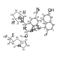 C#Cc1c(F)ccc2cc(O)cc(-c3c(C#N)cc4c(N5C[C@H]6CC[C@@H](C5)N6)nc(OC[C@]56C=CCN5C[C@@]5(CC5(F)F)C6)nc4c3F)c12